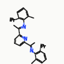 C/C(=N\c1c(C)cccc1C(C)C)c1cccc(/C(C)=N/c2c(C)cccc2C(C)C)n1